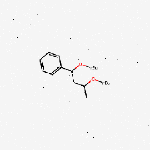 CCCCOC(C)CC(OCCCC)c1ccccc1